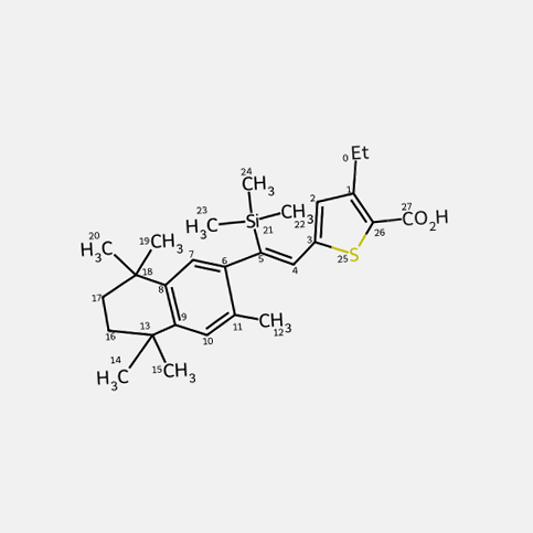 CCc1cc(C=C(c2cc3c(cc2C)C(C)(C)CCC3(C)C)[Si](C)(C)C)sc1C(=O)O